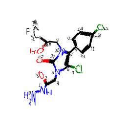 NNC(=O)Cn1c(Cl)c(-c2ccc(Cl)cc2)n(CC(O)C(F)(F)F)c1=O